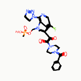 CP(=O)(O)OCn1cc(C(=O)C(=O)N2CCN(C(=O)c3ccccc3)CC2)c2c(F)cnc(-n3ccnn3)c21